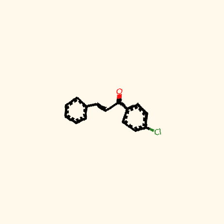 O=C(C=Cc1ccccc1)c1ccc(Cl)cc1